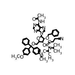 COc1ccc(C(OCC2OC(n3cnc4c(NC(C)=O)ncnc43)[C@H](OCc3ccccc3)[C@@H]2OP(OCCC#N)N(C(C)C)C(C)C)(c2ccccc2)c2ccc(OC)cc2)cc1